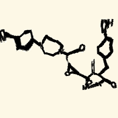 CNC(=O)C(Cc1ccc(O)cc1)NC(=O)C1O[C@@H]1C(=O)N1CCN(c2ccc(O)cc2)CC1